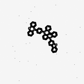 O=P12c3ccccc3B(c3ccc(N4c5ccccc5Oc5ccccc54)cc3)c3cccc(c31)B(c1ccc3c(c1)oc1ccccc13)c1ccccc12